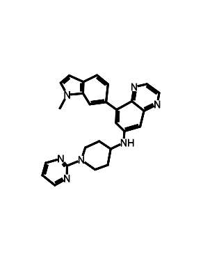 Cn1ccc2ccc(-c3cc(NC4CCN(c5ncccn5)CC4)cc4nccnc34)cc21